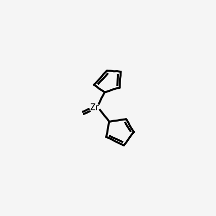 [CH2]=[Zr]([CH]1C=CC=C1)[CH]1C=CC=C1